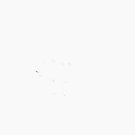 C=CC[C@@H]1CN(S(=O)(=O)NCCOCc2ccccc2)C[C@]1(N=[N+]=[N-])C(=O)OCc1ccccc1